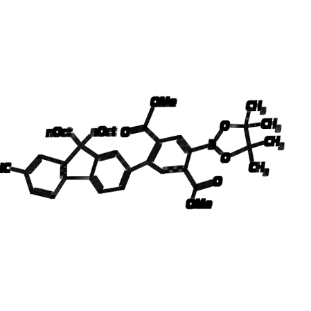 CCCCCCCCC1(CCCCCCCC)c2cc(C=O)ccc2-c2ccc(-c3cc(C(=O)OC)c(B4OC(C)(C)C(C)(C)O4)cc3C(=O)OC)cc21